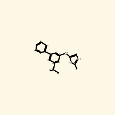 Cc1ncc(Sc2cc(-c3ccccc3)cc(C(C)C)c2)s1